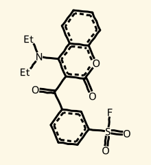 CCN(CC)c1c(C(=O)c2cccc(S(=O)(=O)F)c2)c(=O)oc2ccccc12